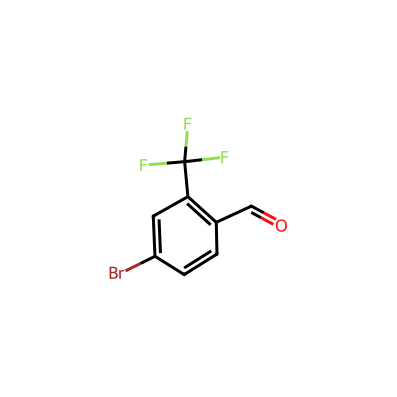 O=Cc1ccc(Br)cc1C(F)(F)F